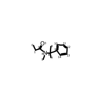 CCC(=O)N(C)C(C)(C)c1ccccc1